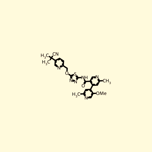 COc1cnc(C)cc1-c1cc(C)ncc1C(=O)Nc1nnc(OCc2ccc(C(C)(C)C#N)cn2)s1